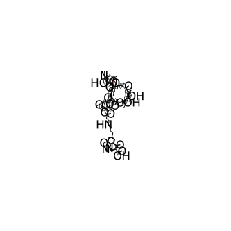 CC[C@H]1OC(=O)[C@H](C)[C@@H](O[C@H]2C[C@@](C)(OC)[C@@H](OC(=O)CCNCCCc3cc4c5c(c3)c(=O)c(C(=O)O)cn5N(C)CO4)[C@H](C)O2)[C@H](C)[C@@H](O[C@@H]2O[C@H](C)C[C@H](N(C)C)[C@H]2O)[C@](C)(OC)C[C@@H](C)C(=O)[C@@H](C)[C@@H](O)[C@]1(C)O